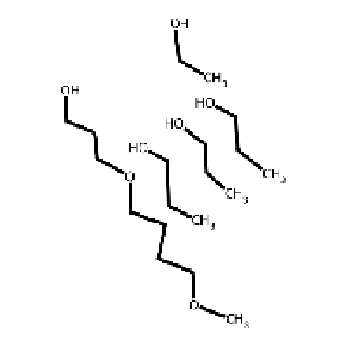 CCCO.CCCO.CCCO.CCO.COCCCCOCCCO